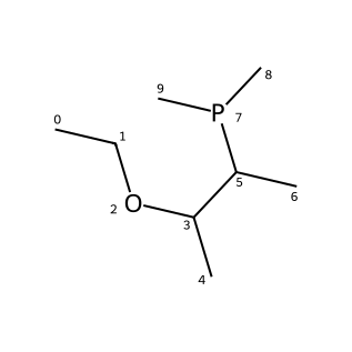 CCOC(C)C(C)P(C)C